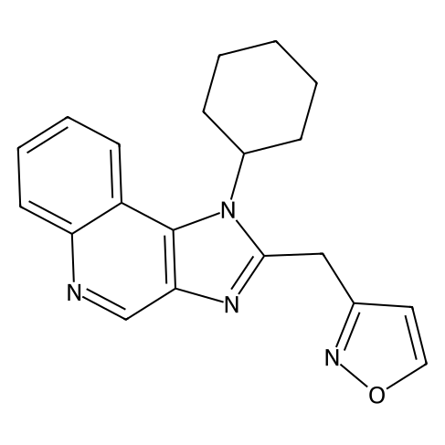 c1ccc2c(c1)ncc1nc(Cc3ccon3)n(C3CCCCC3)c12